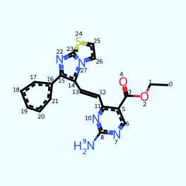 CCOC(=O)c1cnc(N)nc1C=Cc1c(-c2ccccc2)nc2sccn12